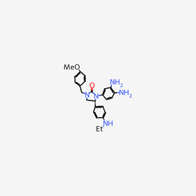 CCNc1ccc([C@H]2CN(Cc3ccc(OC)cc3)C(=O)N2c2ccc(N)c(N)c2)cc1